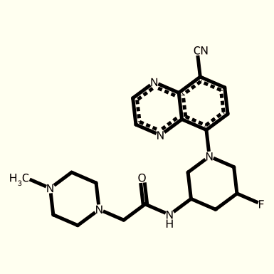 CN1CCN(CC(=O)NC2CC(F)CN(c3ccc(C#N)c4nccnc34)C2)CC1